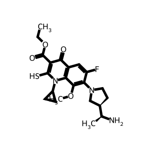 CCOC(=O)c1c(S)n(C2CC2)c2c(OC)c(N3CC[C@@H]([C@H](C)N)C3)c(F)cc2c1=O